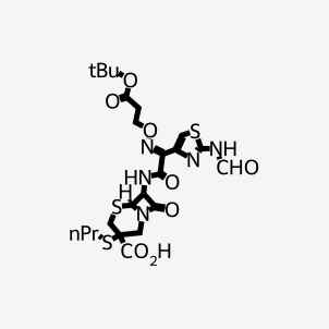 CCCSC1(C(=O)O)CS[C@@H]2C(NC(=O)C(=NOCCC(=O)OC(C)(C)C)c3csc(NC=O)n3)C(=O)N2C1